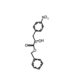 O=C(OCc1ccccc1)[C@H](O)Cc1ccc([N+](=O)[O-])cc1